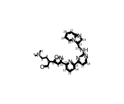 CN(C)CCC(C=O)c1cc(-c2cccc(-c3ccnc(NCc4cnc5ccccn45)n3)n2)no1